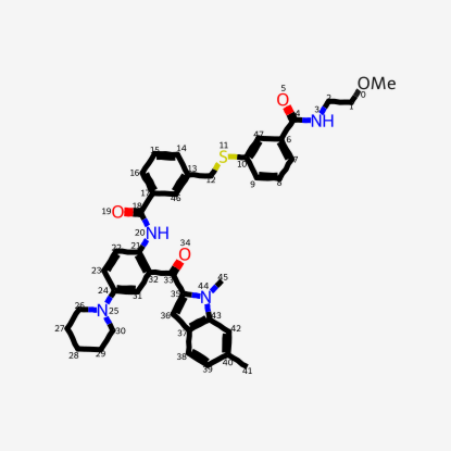 COCCNC(=O)c1cccc(SCc2cccc(C(=O)Nc3ccc(N4CCCCC4)cc3C(=O)c3cc4ccc(C)cc4n3C)c2)c1